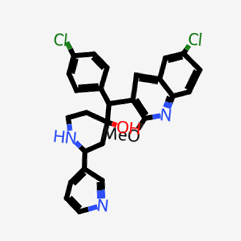 COc1nc2ccc(Cl)cc2cc1C(c1ccc(Cl)cc1)C1(O)CCNC(c2cccnc2)C1